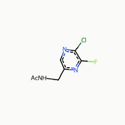 CC(=O)NCc1cnc(Cl)c(F)n1